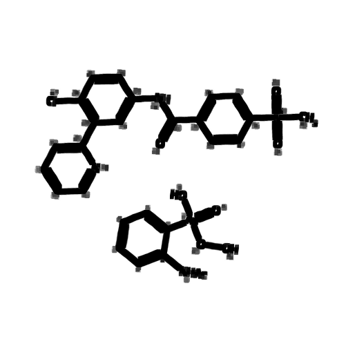 CC(=O)Nc1ccccc1[As](=O)(O)OO.CS(=O)(=O)c1ccc(C(=O)Nc2ccc(Cl)c(-c3ccccn3)c2)cc1